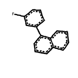 Fc1cc[c]c(-c2cccc3ccccc23)c1